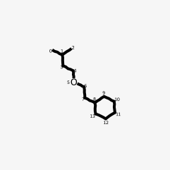 CC(C)CCOCCC1CCCCC1